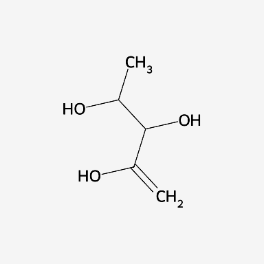 C=C(O)C(O)C(C)O